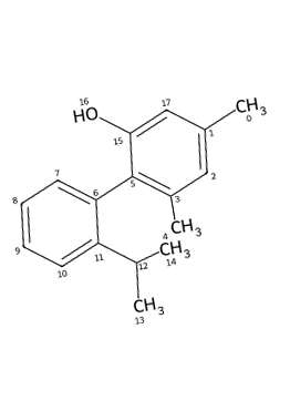 Cc1cc(C)c(-c2ccccc2C(C)C)c(O)c1